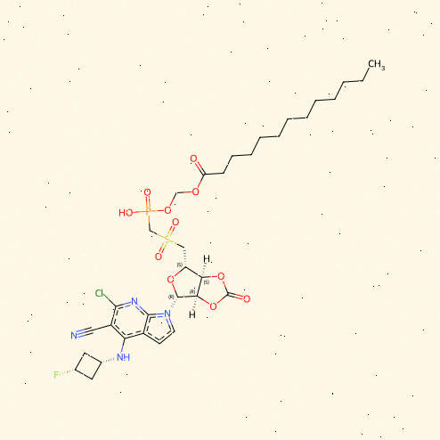 CCCCCCCCCCCCC(=O)OCOP(=O)(O)CS(=O)(=O)C[C@H]1O[C@@H](n2ccc3c(N[C@H]4C[C@@H](F)C4)c(C#N)c(Cl)nc32)[C@@H]2OC(=O)O[C@@H]21